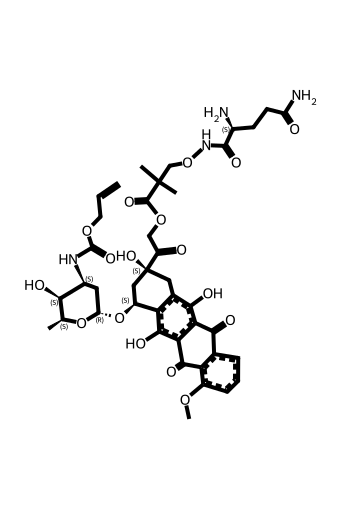 C=CCOC(=O)N[C@H]1C[C@H](O[C@H]2C[C@](O)(C(=O)COC(=O)C(C)(C)CONC(=O)[C@@H](N)CCC(N)=O)Cc3c(O)c4c(c(O)c32)C(=O)c2c(OC)cccc2C4=O)O[C@@H](C)[C@H]1O